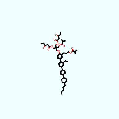 C=C(C)C(=O)OCCCc1cc(-c2ccc(-c3ccc(C4CCC(CCCCC)CC4)cc3)cc2CC)ccc1OCC(COC(=O)CC(=O)CC)(COC(=O)CC(=O)CC)COC(=O)C(=C)C